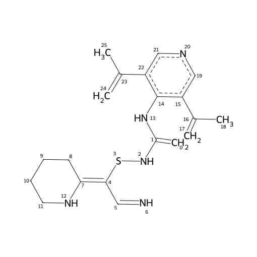 C=C(NS/C(C=N)=C1\CCCCN1)Nc1c(C(=C)C)cncc1C(=C)C